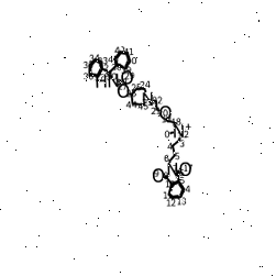 C[N+](C)(CCCCN1C(=O)c2ccccc2C1=O)CCOCCN1CCC(OC(=O)NC(c2ccccc2)c2ccccc2)CC1